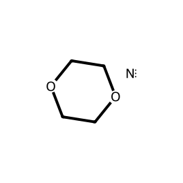 C1COCCO1.[N]